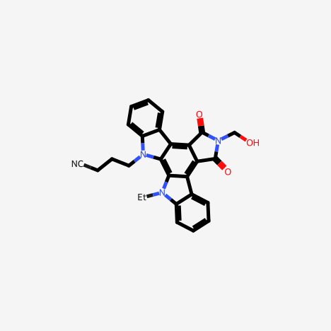 CCn1c2ccccc2c2c3c(c4c5ccccc5n(CCCC#N)c4c21)C(=O)N(CO)C3=O